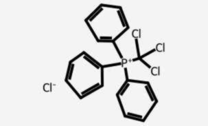 ClC(Cl)(Cl)[P+](c1ccccc1)(c1ccccc1)c1ccccc1.[Cl-]